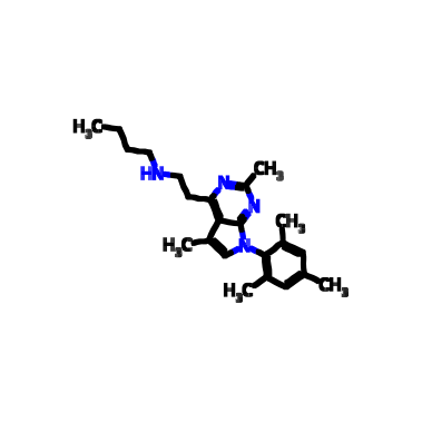 CCCCNCCc1nc(C)nc2c1c(C)cn2-c1c(C)cc(C)cc1C